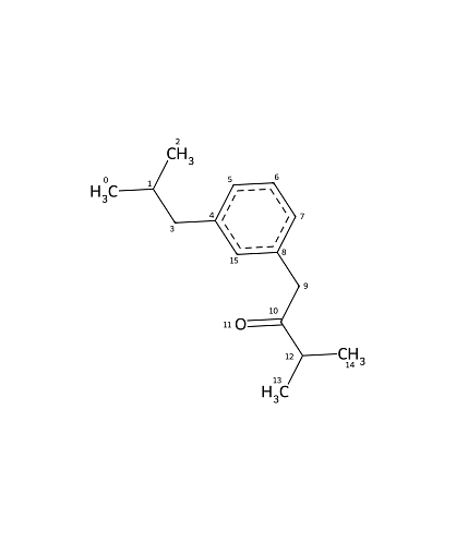 CC(C)Cc1cccc(CC(=O)C(C)C)c1